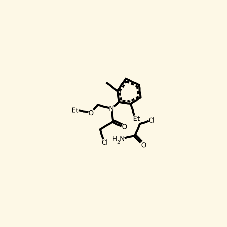 CCOCN(C(=O)CCl)c1c(C)cccc1CC.NC(=O)CCl